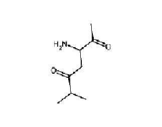 CC(=O)C(N)CC(=O)C(C)C